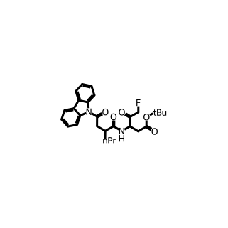 CCCC(CC(=O)n1c2ccccc2c2ccccc21)C(=O)NC(CC(=O)OC(C)(C)C)C(=O)CF